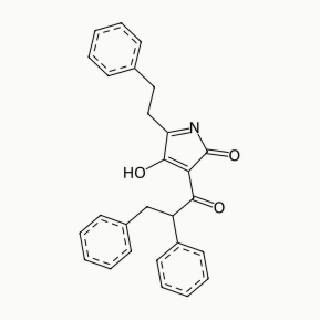 O=C1N=C(CCc2ccccc2)C(O)=C1C(=O)C(Cc1ccccc1)c1ccccc1